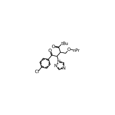 CCCOCC(C(=O)C(C)(C)C)C(C(=O)c1ccc(Cl)cc1)n1cncn1